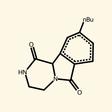 CCCCc1ccc2c(c1)C1C(=O)NCCN1C2=O